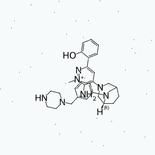 C[n+]1nc(-c2ccccc2O)cc(N2CC3CC[C@H](C2)N(c2cccc(CN4CCNCC4)c2)C3)c1N